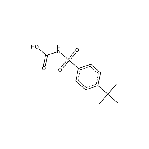 CC(C)(C)c1ccc(S(=O)(=O)NC(=O)O)cc1